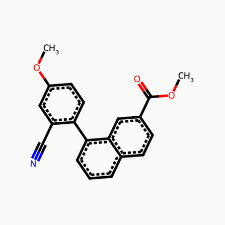 COC(=O)c1ccc2cccc(-c3ccc(OC)cc3C#N)c2c1